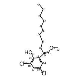 CCCCCCCCC/C(=C\OC)c1cc(Cl)cc(Cl)c1O